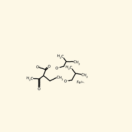 CC(C)C[O-].CC(C)C[O-].CCC(C(C)=O)C(=O)[O-].[Fe+3]